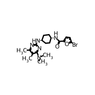 Cc1nc(N[C@H]2CC[C@@H](NC(=O)c3ccc(Br)o3)CC2)nc(N(C)C)c1C